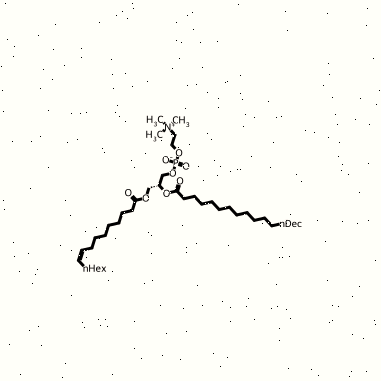 CCCCCC/C=C\CCCCCCCC(=O)OC[C@H](COP(=O)([O-])OCC[N+](C)(C)C)OC(=O)CCCCCCCCCCCCCCCCCCCCC